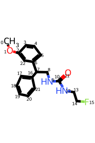 COc1cccc(C(CNC(=O)NCCF)c2ccccc2)c1